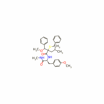 CNC(=O)[C@H](Cc1ccc(OC)cc1)NC(=O)C(CC(C)C)(SCc1ccccc1)C(OC)c1ccccc1